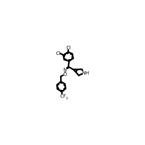 FC(F)(F)c1ccc(CON=C(c2ccc(Cl)c(Cl)c2)C2C3CNCC32)cc1